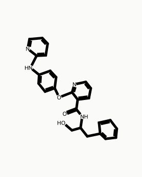 O=C(NC(CO)Cc1ccccc1)c1cccnc1Oc1ccc(Nc2ccccn2)cc1